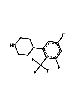 Fc1cc(F)c(C(F)(F)F)c(C2CCNCC2)c1